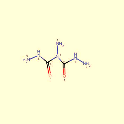 NNC(=O)N(N)C(=O)NN